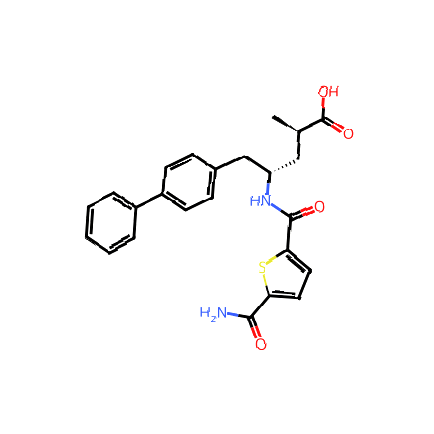 C[C@H](C[C@@H](Cc1ccc(-c2ccccc2)cc1)NC(=O)c1ccc(C(N)=O)s1)C(=O)O